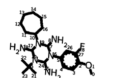 COc1ccc(N2C(N)N(C3CCCCCC3)C(N)N(C(C)(C)C)C2N)cc1F